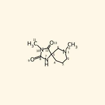 CN1CCCC2(C1)NC(=O)N(C)C2=O